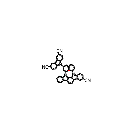 N#Cc1ccc2c(c1)c1cc(C#N)ccc1n2-c1cccc(-n2c3ccccc3c3ccc4c5cc(C#N)ccc5n(-c5ccccc5)c4c32)c1